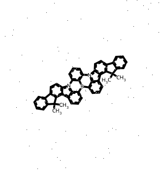 CC1(C)c2ccccc2-c2ccc3c(c21)c1cccc2c1n3-c1cccc3c1B2c1cccc2c4c5c(ccc4n-3c12)-c1ccccc1C5(C)C